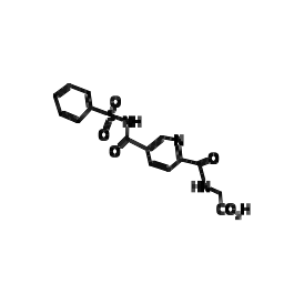 O=C(O)CNC(=O)c1ccc(C(=O)NS(=O)(=O)c2ccccc2)cn1